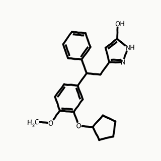 COc1ccc(C(Cc2cc(O)[nH]n2)c2ccccc2)cc1OC1CCCC1